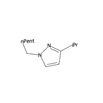 CCCCCCn1ccc(C(C)C)n1